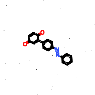 O=C1C=CC(=O)C(c2ccc(/N=N/c3ccccc3)cc2)=C1